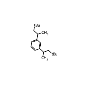 CC(CC(C)(C)C)c1cccc(C(C)CC(C)(C)C)c1